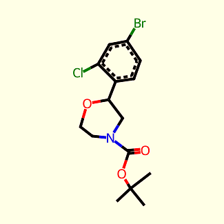 CC(C)(C)OC(=O)N1CCOC(c2ccc(Br)cc2Cl)C1